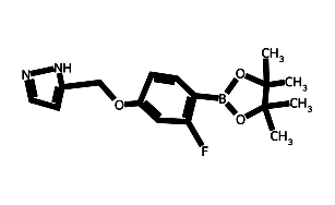 CC1(C)OB(c2ccc(OCc3ccn[nH]3)cc2F)OC1(C)C